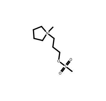 C[N+]1(CCCOS(C)(=O)=O)CCCC1